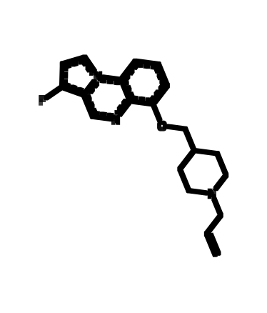 C=CCN1CCC(COc2cccc3c2ncc2c(F)ccn23)CC1